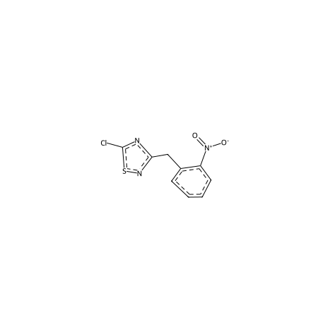 O=[N+]([O-])c1ccccc1Cc1nsc(Cl)n1